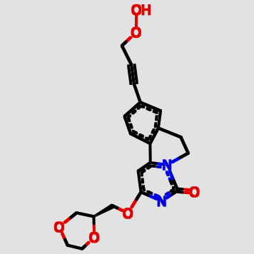 O=c1nc(OC[C@@H]2COCCO2)cc2n1CCc1cc(C#CCOO)ccc1-2